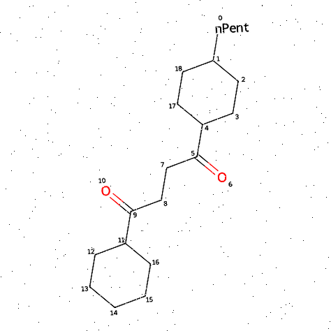 CCCCCC1CCC(C(=O)CCC(=O)C2CCCCC2)CC1